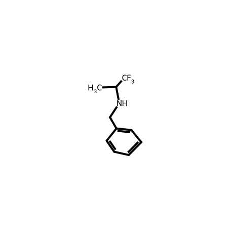 CC(NCc1ccccc1)C(F)(F)F